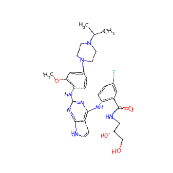 COc1cc(N2CCN(C(C)C)CC2)ccc1Nc1nc(Nc2ccc(F)cc2C(=O)NC[C@@H](O)CO)c2cc[nH]c2n1